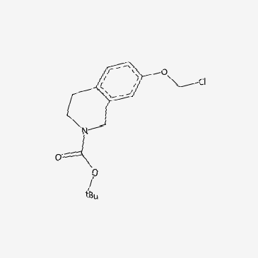 CC(C)(C)OC(=O)N1CCc2ccc(OCCl)cc2C1